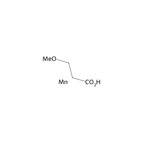 COCCC(=O)O.[Mn]